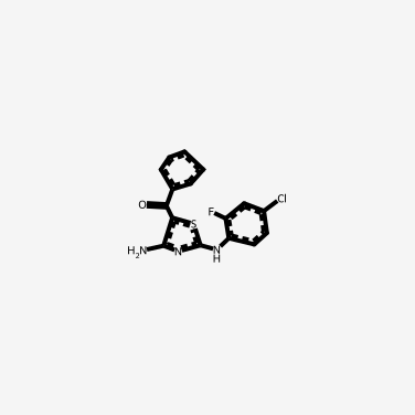 Nc1nc(Nc2ccc(Cl)cc2F)sc1C(=O)c1ccccc1